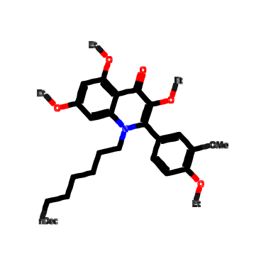 CCCCCCCCCCCCCCCCn1c(-c2ccc(OCC)c(OC)c2)c(OCC)c(=O)c2c(OCC)cc(OCC)cc21